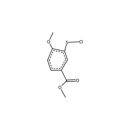 COC(=O)c1ccc(OC)c(SCl)c1